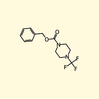 O=C(OCc1ccccc1)N1CCN(C(F)(F)F)CC1